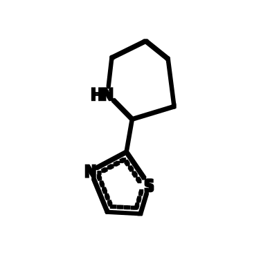 c1csc(C2CCCCN2)n1